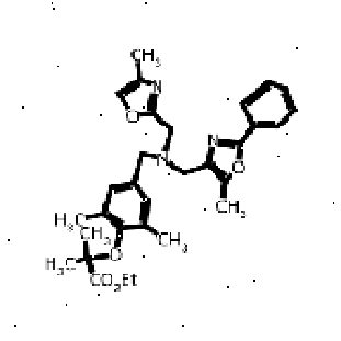 CCOC(=O)C(C)(C)Oc1c(C)cc(CN(Cc2nc(C)co2)Cc2nc(-c3ccccc3)oc2C)cc1C